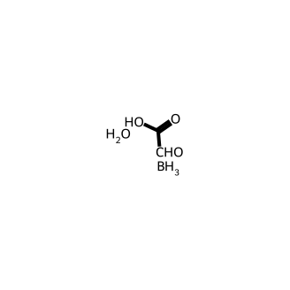 B.O.O=CC(=O)O